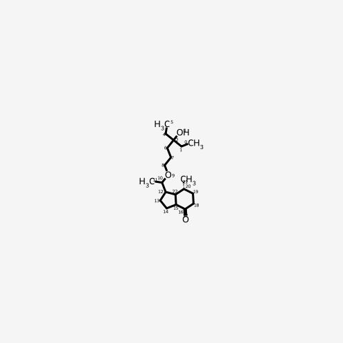 CCC(O)(CC)CCCOC(C)C1CCC2C(=O)CC[C@@H](C)C21